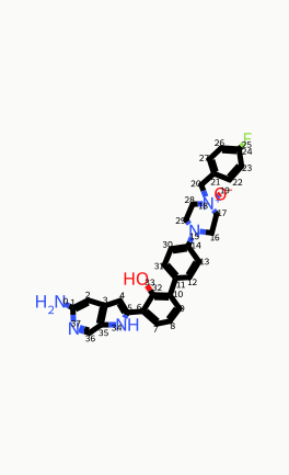 Nc1cc2cc(-c3cccc(-c4ccc(N5CC[N+]([O-])(Cc6ccc(F)cc6)CC5)cc4)c3O)[nH]c2cn1